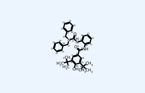 CC(C)(C)c1cc(C(=O)Nc2ccccc2NC(=O)N(Cc2ccccc2)Cc2ccccc2)cc(C(C)(C)C)c1O